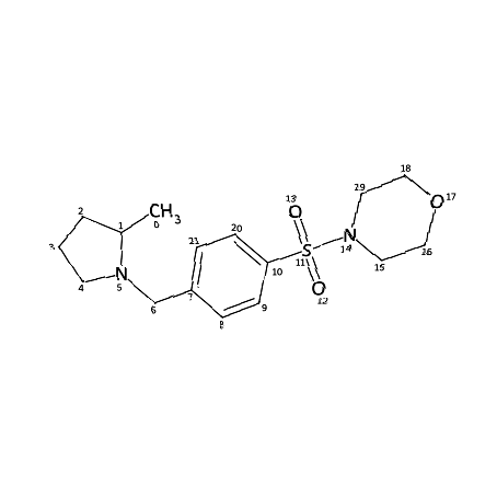 CC1CCCN1Cc1ccc(S(=O)(=O)N2CCOCC2)cc1